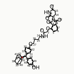 O=C(COc1cccc2c1C(=O)N(C1CCC(=O)NC1=O)C2=O)NCCCCOc1ccc(C(=C2C3CC4CC(C3)CC2C4)c2ccc(O)cc2)cc1